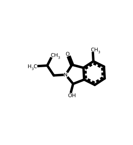 Cc1cccc2c1C(=O)N(CC(C)C)C2O